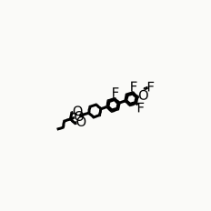 CCCC12COC(C3CCC(c4ccc(-c5cc(F)c(OCF)c(F)c5)c(F)c4)CC3)(OC1)OC2